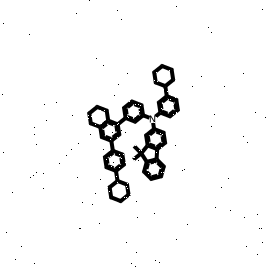 CC1(C)c2ccccc2-c2ccc(N(c3cccc(-c4cc(-c5ccc(C6CCCCC6)cc5)cc5c4CCCC5)c3)c3cccc(C4CCCCC4)c3)cc21